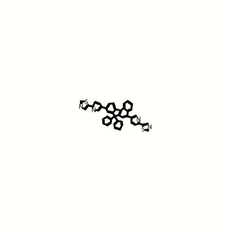 c1ccc(C2(c3ccccc3)c3cc(-c4ccc(-c5cncs5)nc4)ccc3-c3c2cc(-c2ccc(-c4cncs4)nc2)c2ccccc32)cc1